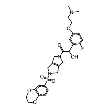 CN(C)CCOc1ccc(F)c(C(O)C(=O)N2CC3=C(C2)CN(S(=O)(=O)c2ccc4c(c2)OCCO4)C3)c1